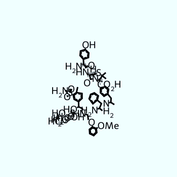 CC(N)Cc1ccccc1.CC(N)Cc1ccccc1.CC1(C)S[C@@H]2[C@H](NC(=O)[C@H](N)c3ccc(O)cc3)C(=O)N2[C@H]1C(=O)O.COc1ccccc1OCCNCC(O)c1ccc(C)c(S(N)(=O)=O)c1.Cl.O.O.O.O=S(=O)(O)O